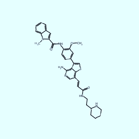 COc1cc(-c2csc3c(/C=C/C(=O)NCCC4CCCCN4)cnc(N)c23)ccc1NC(=O)c1cc2ccccc2n1C